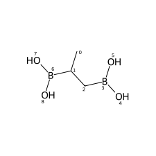 CC(CB(O)O)B(O)O